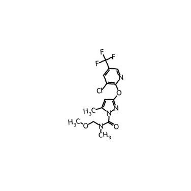 COCN(C)C(=O)n1nc(Oc2ncc(C(F)(F)F)cc2Cl)cc1C